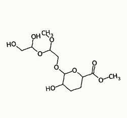 COC(=O)C1CCC(O)C(OCC(OC)OC(O)CO)O1